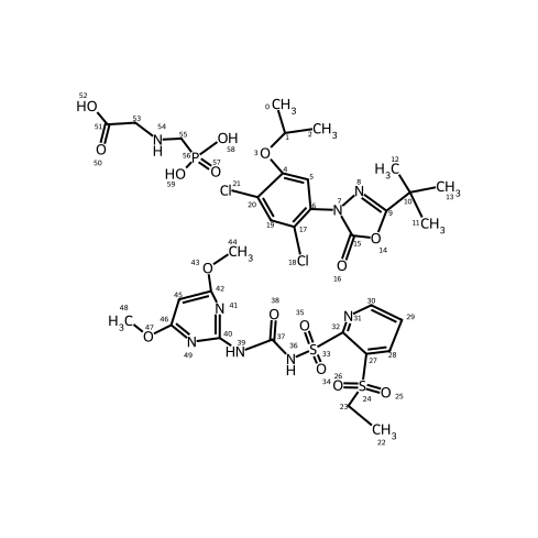 CC(C)Oc1cc(-n2nc(C(C)(C)C)oc2=O)c(Cl)cc1Cl.CCS(=O)(=O)c1cccnc1S(=O)(=O)NC(=O)Nc1nc(OC)cc(OC)n1.O=C(O)CNCP(=O)(O)O